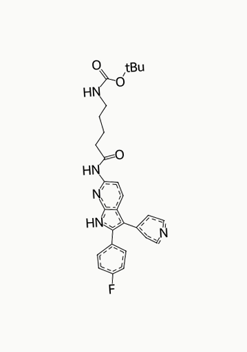 CC(C)(C)OC(=O)NCCCCC(=O)Nc1ccc2c(-c3ccncc3)c(-c3ccc(F)cc3)[nH]c2n1